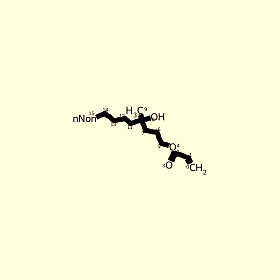 C=CC(=O)OCCCC(C)(O)CCCCCCCCCCCCC